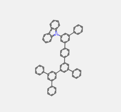 c1ccc(-c2cc(-c3ccccc3)cc(-c3cc(-c4ccccc4)cc(-c4ccc(-c5cc(-c6ccccc6)cc(-n6c7ccccc7c7ccccc76)c5)cc4)c3)c2)cc1